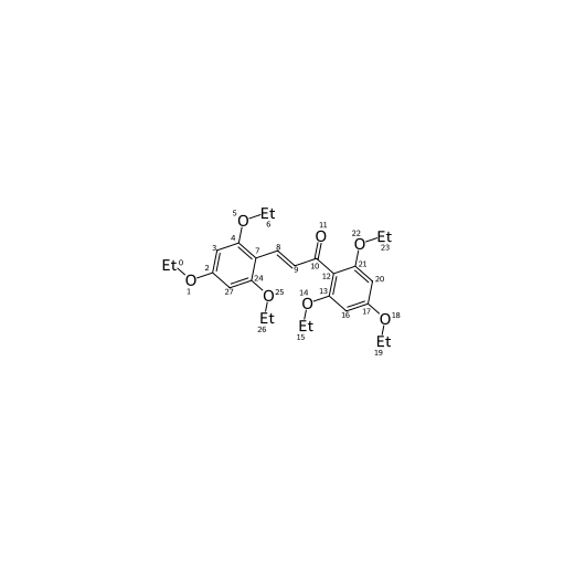 CCOc1cc(OCC)c(C=CC(=O)c2c(OCC)cc(OCC)cc2OCC)c(OCC)c1